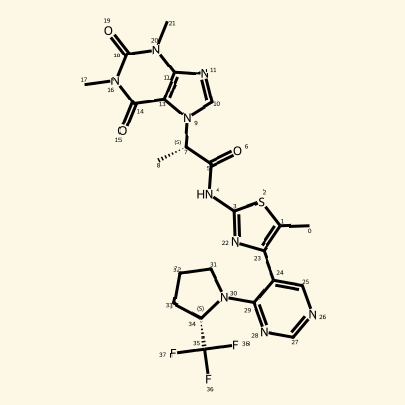 Cc1sc(NC(=O)[C@H](C)n2cnc3c2c(=O)n(C)c(=O)n3C)nc1-c1cncnc1N1CCC[C@H]1C(F)(F)F